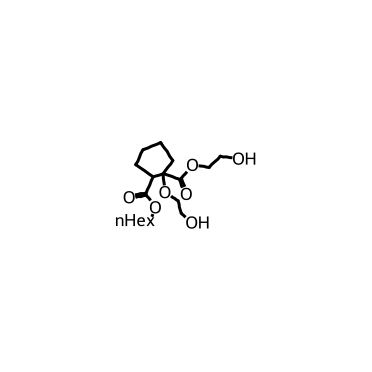 CCCCCCOC(=O)C1CCCCC1(OCCO)C(=O)OCCO